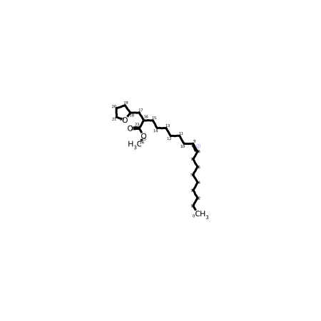 CCCCCCCC/C=C\CCCCCCC(CC1CCCO1)C(=O)OC